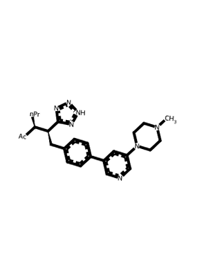 CCC[C@H](C(C)=O)[C@H](Cc1ccc(-c2cncc(N3CCN(C)CC3)c2)cc1)c1nn[nH]n1